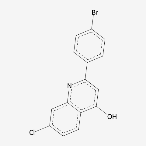 Oc1cc(-c2ccc(Br)cc2)nc2cc(Cl)ccc12